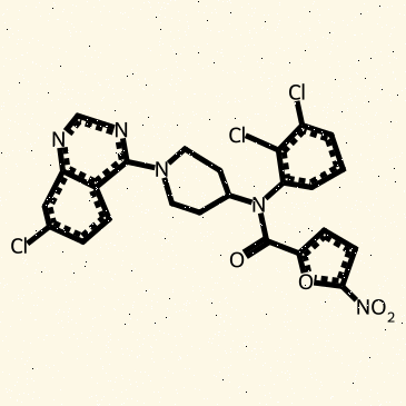 O=C(c1ccc([N+](=O)[O-])o1)N(c1cccc(Cl)c1Cl)C1CCN(c2ncnc3cc(Cl)ccc23)CC1